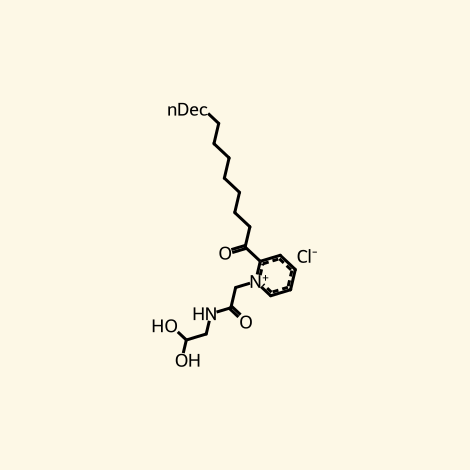 CCCCCCCCCCCCCCCCCC(=O)c1cccc[n+]1CC(=O)NCC(O)O.[Cl-]